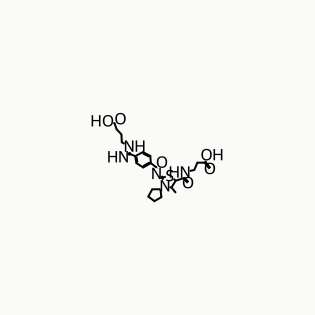 CC1C(C(=O)NCCC(=O)O)SC(=NC(=O)c2ccc(C(=N)NCCCC(=O)O)cc2)N1C1CCCC1